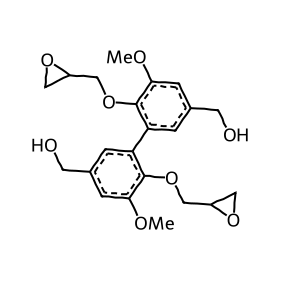 COc1cc(CO)cc(-c2cc(CO)cc(OC)c2OCC2CO2)c1OCC1CO1